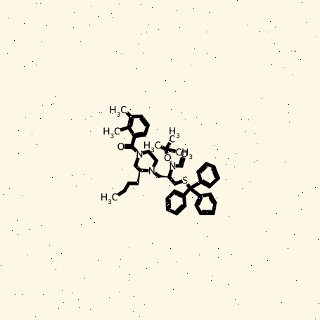 CCCC[C@H]1CN(C(=O)c2cccc(C)c2C)CCN1C[C@H](CSC(c1ccccc1)(c1ccccc1)c1ccccc1)N(C=O)OC(C)(C)C